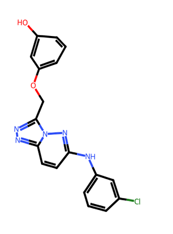 Oc1cccc(OCc2nnc3ccc(Nc4cccc(Cl)c4)nn23)c1